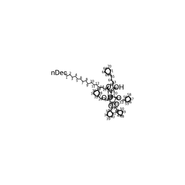 CCCCCCCCCCCCCCCCCCCCCCCCCC(=O)N[C@@H](C[C@H]1O[C@H](COCc2ccccc2)[C@H](OCc2ccccc2)[C@H](OCc2ccccc2)[C@H]1OCc1ccccc1)[C@H](O)C=CCCc1ccccc1